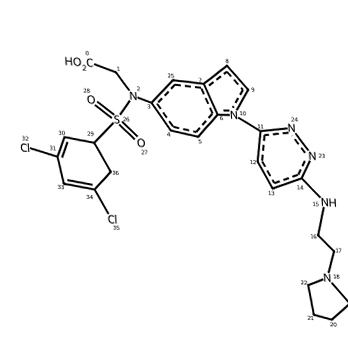 O=C(O)CN(c1ccc2c(ccn2-c2ccc(NCCN3CCCC3)nn2)c1)S(=O)(=O)C1C=C(Cl)C=C(Cl)C1